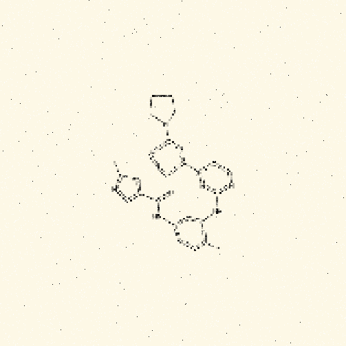 Cc1ncc(C(=O)Nc2ccc(C)c(Nc3nccc(-c4cncc(N5CCCC5)c4)n3)c2)s1